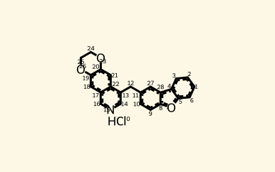 Cl.c1ccc2c(c1)oc1ccc(Cc3cncc4cc5c(cc34)OCCO5)cc12